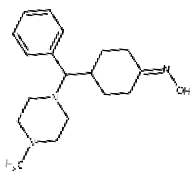 CN1CCN(C(c2ccccc2)C2CCC(=NO)CC2)CC1